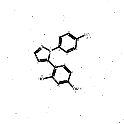 COc1ccc(-c2ccnn2-c2ccc([N+](=O)[O-])cc2)c(O)c1